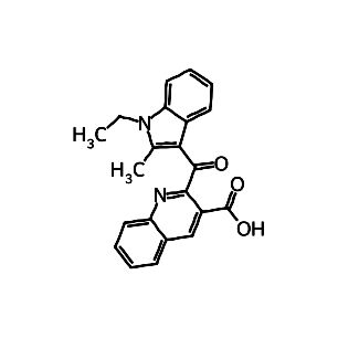 CCn1c(C)c(C(=O)c2nc3ccccc3cc2C(=O)O)c2ccccc21